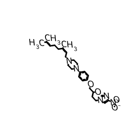 CC(C)=CCCC(C)=CCN1CCN(c2ccc(OCC3CCn4cc([N+](=O)[O-])nc4O3)cc2)CC1